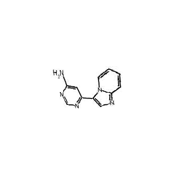 Nc1cc(-c2cnc3ccccn23)ncn1